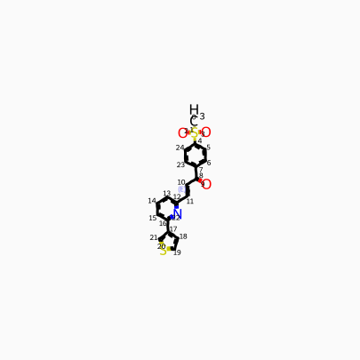 CS(=O)(=O)c1ccc(C(=O)/C=C/c2cccc(-c3ccsc3)n2)cc1